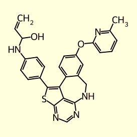 C=CC(O)Nc1ccc(-c2sc3ncnc4c3c2-c2ccc(Oc3cccc(C)n3)cc2CN4)cc1